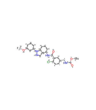 CC(C)(C)OC(=O)NCc1ccc(Cl)c(C(=O)Nc2cccc3c2cnn3-c2cccc(OC(F)(F)F)c2)c1